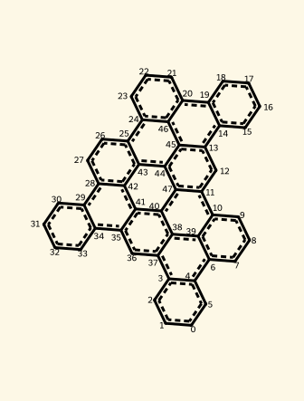 c1ccc2c(c1)c1cccc3c4cc5c6ccccc6c6cccc7c8ccc9c%10ccccc%10c%10cc2c(c13)c1c%10c9c8c(c5c67)c41